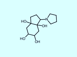 OC1CC2(O)CCC(N3CCCC3)C2(O)CC1O